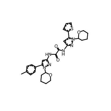 Cc1ccc(-c2cc(NC(=O)C(=O)Nc3cc(-c4cccs4)n(C4CCCCO4)n3)nn2C2CCCCO2)cc1